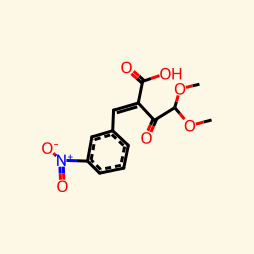 COC(OC)C(=O)/C(=C\c1cccc([N+](=O)[O-])c1)C(=O)O